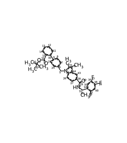 Cc1c(C)n(Cc2ccc(-c3ccccc3C(=O)OC(C)(C)C)cc2)c2ccc(C(=O)N[C@@H](C)c3cc(F)c(F)cc3F)cc12